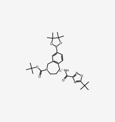 CC(C)(C)OC(=O)N1CC[C@@H](NC(=O)c2noc(C(C)(C)C)n2)c2ccc(B3OC(C)(C)C(C)(C)O3)cc2C1